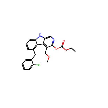 CCOC(=O)Oc1ncc2[nH]c3cccc(Cc4ccccc4Cl)c3c2c1COC